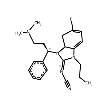 CCCN1C2=CC=C(F)CC2N([C@H](CCN(C)C)c2ccccc2)/C1=N/C#N